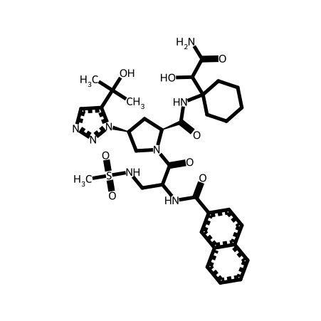 CC(C)(O)c1cnnn1[C@H]1C[C@@H](C(=O)NC2(C(O)C(N)=O)CCCCC2)N(C(=O)C(CNS(C)(=O)=O)NC(=O)c2ccc3ccccc3c2)C1